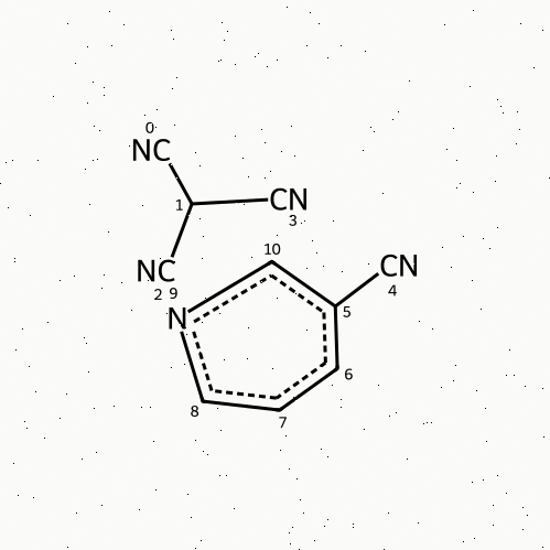 N#CC(C#N)C#N.N#Cc1cccnc1